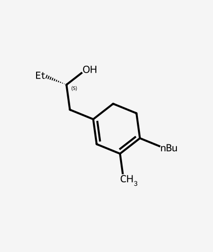 CCCCC1=C(C)C=C(C[C@@H](O)CC)CC1